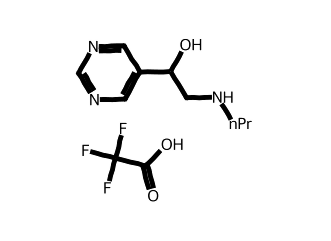 CCCNCC(O)c1cncnc1.O=C(O)C(F)(F)F